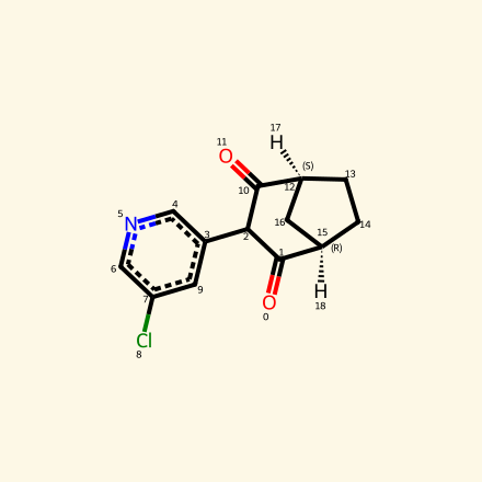 O=C1C(c2cncc(Cl)c2)C(=O)[C@H]2CC[C@@H]1C2